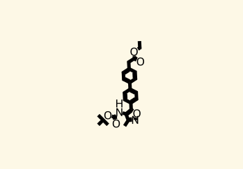 CCOC(=O)Cc1ccc(-c2ccc(-c3onc(C)c3NC(=O)OC(C)(C)C)cc2)cc1